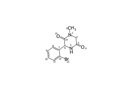 CN1CC(=O)NC(c2ccccc2Br)C1=O